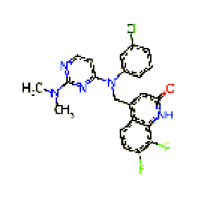 CN(C)c1nccc(N(Cc2cc(=O)[nH]c3c(F)c(F)ccc23)c2cccc(Cl)c2)n1